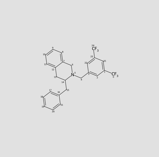 FC(F)(F)c1cc(CN2Cc3ccccc3CC2Cc2ccccc2)cc(C(F)(F)F)c1